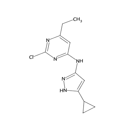 CCc1cc(Nc2cc(C3CC3)[nH]n2)nc(Cl)n1